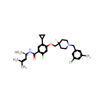 CC(C)=C[C@H](NC(=O)c1cc(C2CC2)c(OCC2(F)CCN(Cc3cc(Cl)cc(C(F)(F)F)c3)CC2)cc1F)C(=O)O